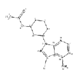 CC(=O)OC1CCCC(n2nc(I)c3c(N)ncnc32)C1